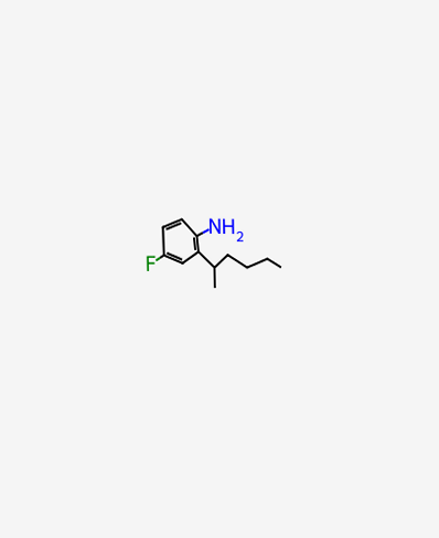 CCCCC(C)c1cc(F)ccc1N